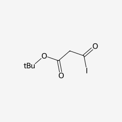 CC(C)(C)OC(=O)CC(=O)I